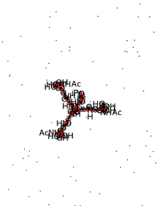 CC(=O)NC1C(OCCOCCNC(=O)CCCCCNC(=O)CN(CC(=O)NCCCCCC(=O)NCCOCCOC2OC(CO)C(O)C(O)C2NC(C)=O)C(CCCCNC(=O)C2CCC(OC(C)C)CC2)C(=O)NCCCCCC(=O)NCCOCCOC2OC(CO)C(O)C(O)C2NC(C)=O)OC(CO)C(O)C1O